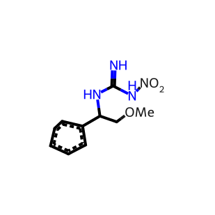 COCC(NC(=N)N[N+](=O)[O-])c1ccccc1